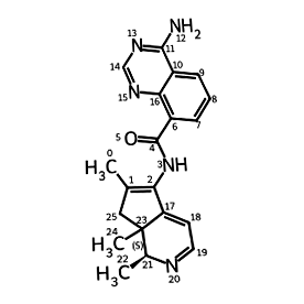 CC1=C(NC(=O)c2cccc3c(N)ncnc23)C2=CC=N[C@@H](C)C2(C)C1